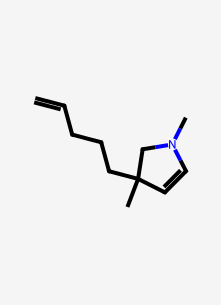 C=CCCCC1(C)C=CN(C)C1